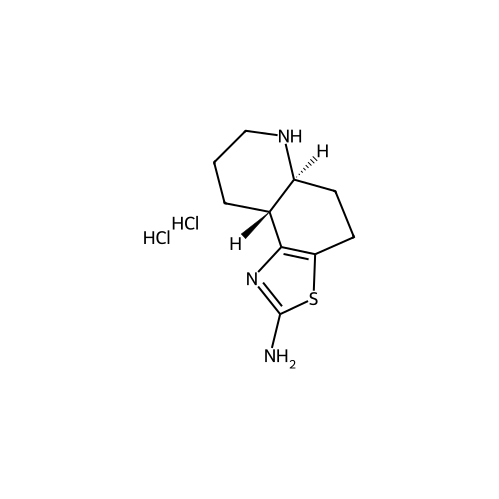 Cl.Cl.Nc1nc2c(s1)CC[C@@H]1NCCC[C@@H]21